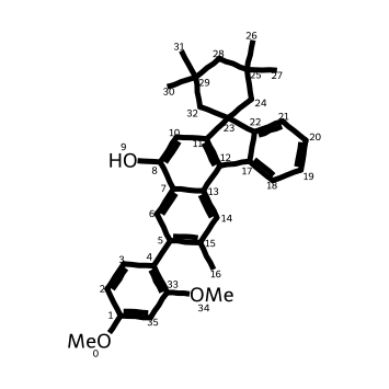 COc1ccc(-c2cc3c(O)cc4c(c3cc2C)-c2ccccc2C42CC(C)(C)CC(C)(C)C2)c(OC)c1